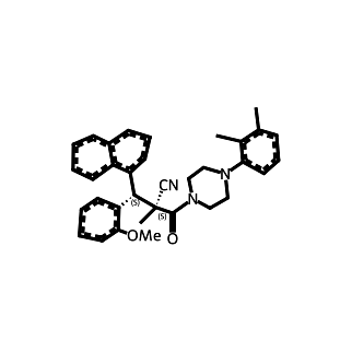 COc1ccccc1[C@H](c1cccc2ccccc12)[C@@](C)(C#N)C(=O)N1CCN(c2cccc(C)c2C)CC1